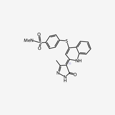 CNS(=O)(=O)c1ccc(SC2=C/C(=C3/C(=O)NN=C3C)Nc3ccccc32)cc1